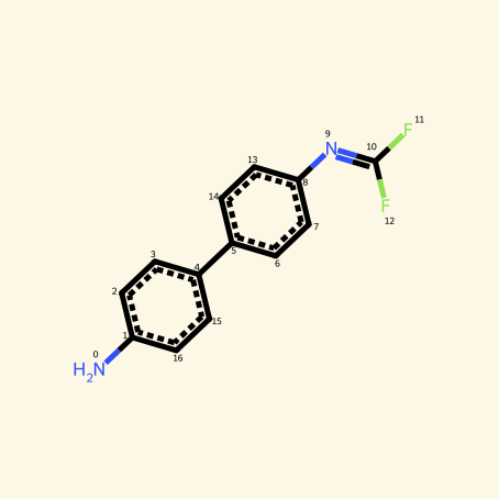 Nc1ccc(-c2ccc(N=C(F)F)cc2)cc1